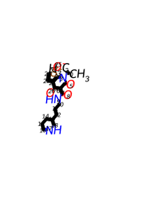 CC(C)N1C(=O)C(C(=O)NCCCC2CCCNC2)C(=O)c2cc[s+]([O-])c21